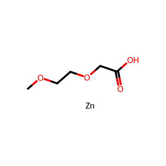 COCCOCC(=O)O.[Zn]